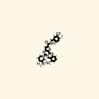 N#Cc1ccccc1Cn1c(N2CCC[C@@H](N)C2)nc2cc(C(=O)NCc3cccc(C(F)(F)F)c3)sc2c1=O